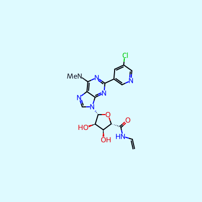 C=CNC(=O)[C@H]1O[C@@H](n2cnc3c(NC)nc(-c4cncc(Cl)c4)nc32)[C@H](O)[C@@H]1O